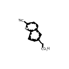 N#Cc1ccc2cc(CC(=O)O)ccc2n1